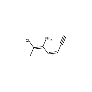 C#C/C=C\C(N)=C(/C)Cl